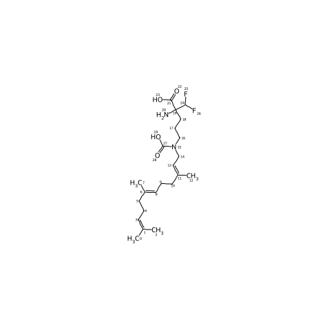 CC(C)=CCCC(C)=CCCC(C)=CCN(CCCC(N)(C(=O)O)C(F)F)C(=O)O